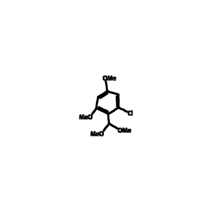 COc1cc(Cl)c(C(OC)OC)c(OC)c1